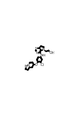 OCCn1ccc2ncnc(Nc3ccc(Oc4ccn5nccc5c4)c(Cl)c3)c21